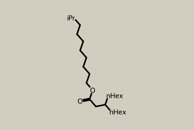 CCCCCCC(CCCCCC)CC(=O)OCCCCCCCCC(C)C